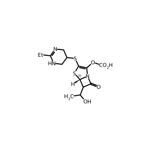 CCC1=NCC(SC2=C(OC(=O)O)N3C(=O)C(C(C)O)[C@@H]3S2)CN1